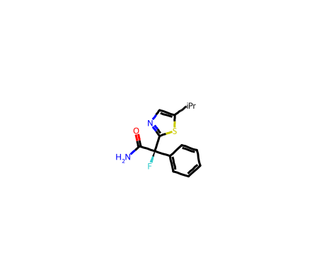 CC(C)c1cnc([C@@](F)(C(N)=O)c2ccccc2)s1